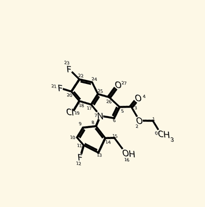 CCOC(=O)c1cn(-c2ccc(F)cc2CO)c2c(Cl)c(F)c(F)cc2c1=O